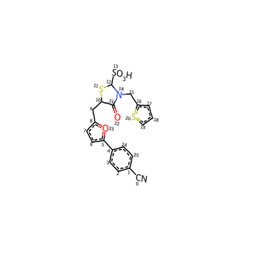 N#Cc1ccc(-c2ccc(CC3SC(S(=O)(=O)O)N(Cc4cccs4)C3=O)o2)cc1